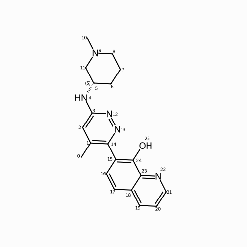 Cc1cc(N[C@H]2CCCN(C)C2)nnc1-c1ccc2cccnc2c1O